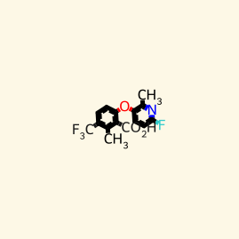 Cc1nc(F)ccc1Oc1ccc(C(F)(F)F)c(C)c1C(=O)O